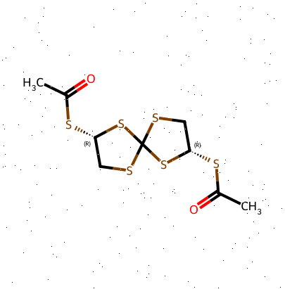 CC(=O)S[C@H]1CSC2(SC[C@H](SC(C)=O)S2)S1